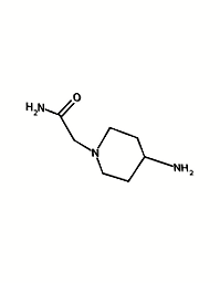 NC(=O)CN1CCC(N)CC1